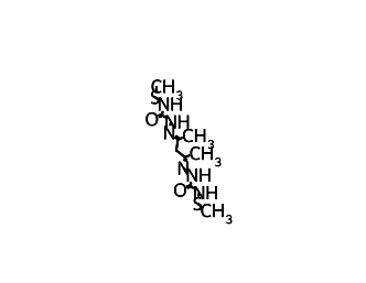 CSNC(=O)N/N=C(\C)C/C(C)=N/NC(=O)NSC